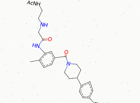 CC(=O)NCCNCC(=O)Nc1cc(C(=O)N2CCC(c3ccc(C#N)cc3)CC2)ccc1C